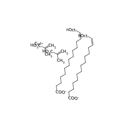 C=C(C)C(=O)O.C=C(C)C(=O)O.CCCCCCCC/C=C\CCCCCCCCCCCC(=O)[O-].CCCCCCCC/C=C\CCCCCCCCCCCC(=O)[O-].[Cu+2]